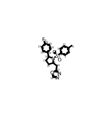 Cc1ccc(S(=O)(=O)N2C(Cc3nnco3)CCC2c2ccc(F)cc2)cc1